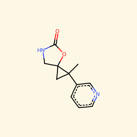 CC1(c2cccnc2)CC12CNC(=O)O2